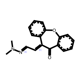 CN(C)/N=C/C=C1/C(=O)c2ccccc2Oc2ccccc21